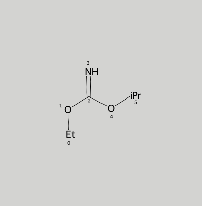 CCOC(=N)OC(C)C